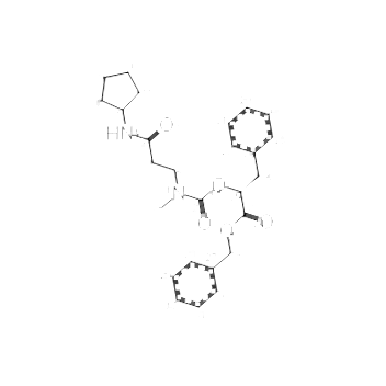 CN(CCC(=O)NC1CCCC1)C(=O)O[C@@H](Cc1ccccc1)C(=O)OCc1ccccc1